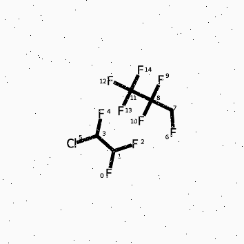 FC(F)C(F)Cl.FCC(F)(F)C(F)(F)F